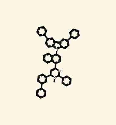 CN1C(c2cccc(-c3ccccc3)c2)C=C(c2ccc(-n3c4ccc(-c5ccccc5)cc4c4cc(-c5ccccc5)ccc43)c3ccccc23)NC1c1ccccc1